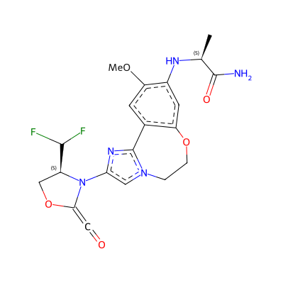 COc1cc2c(cc1N[C@@H](C)C(N)=O)OCCn1cc(N3C(=C=O)OC[C@H]3C(F)F)nc1-2